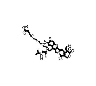 CC[C@@]1(O)C(=O)OCc2c1cc1n(c2=O)Cc2c-1nc1cc(F)c(OC)cc1c2CN(CCOCCOCCOCCC(=O)O)C(=O)CNC(C)C